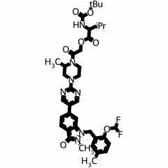 Cc1ccc(OC(F)F)c(Cn2c3cc(-c4cnc(N5CCN(C(=O)COC(=O)C(NC(=O)OC(C)(C)C)C(C)C)C(C)C5)nc4)ccc3c(=O)n2C)c1